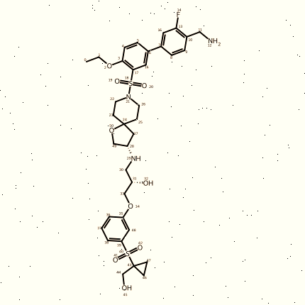 CCOc1ccc(-c2ccc(CN)c(F)c2)cc1S(=O)(=O)N1CCC2(CC1)C[C@H](NC[C@H](O)COc1cccc(S(=O)(=O)C3(CO)CC3)c1)CO2